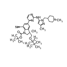 Cc1cc(Nc2nccc(-c3cc(C#N)c4c(c3)[C@@](C)(CO[Si](C)(C)C(C)(C)C)CN4C(=O)OC(C)(C)C)n2)n(CC2CCN(C)CC2)n1